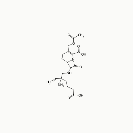 C=CC(N)(CCCC(=O)O)CNC1C(=O)N2C(C(=O)O)=C(COC(C)=O)CSC12